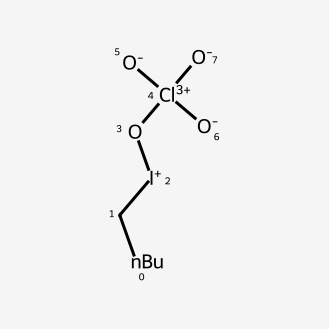 CCCCC[I+]O[Cl+3]([O-])([O-])[O-]